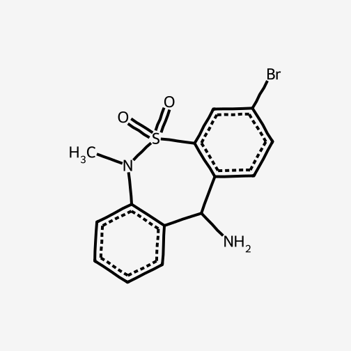 CN1c2ccccc2C(N)c2ccc(Br)cc2S1(=O)=O